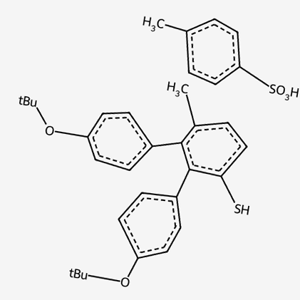 Cc1ccc(S(=O)(=O)O)cc1.Cc1ccc(S)c(-c2ccc(OC(C)(C)C)cc2)c1-c1ccc(OC(C)(C)C)cc1